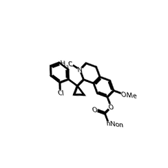 CCCCCCCCCC(=O)Oc1cc2c(cc1OC)CCN(C)C2C1(c2ccccc2Cl)CC1